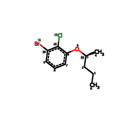 CCC[C@H](C)Oc1cccc(Br)c1Cl